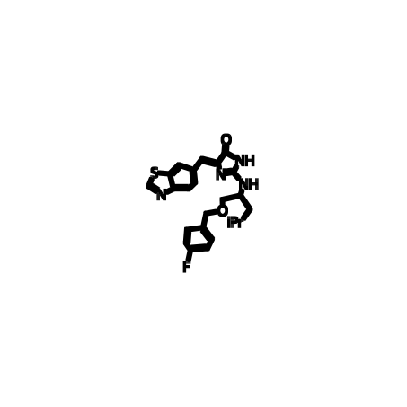 CC(C)CC(COCc1ccc(F)cc1)NC1=N/C(=C\c2ccc3ncsc3c2)C(=O)N1